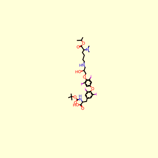 CC(C)OC(=O)C(CCCCNCC(O)COc1c(I)cc(Oc2c(I)cc(CC(NC(=O)OC(C)(C)C)C(=O)O)cc2I)cc1I)N(C)C